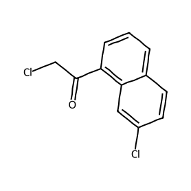 O=C(CCl)c1cccc2ccc(Cl)cc12